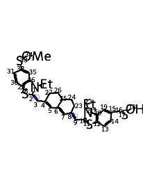 CCN1/C(=C\C2=CC3=C/C(=C/c4sc5ccc(CSO)cc5[n+]4CC)CCC3CC2)Sc2ccc(SOC)cc21